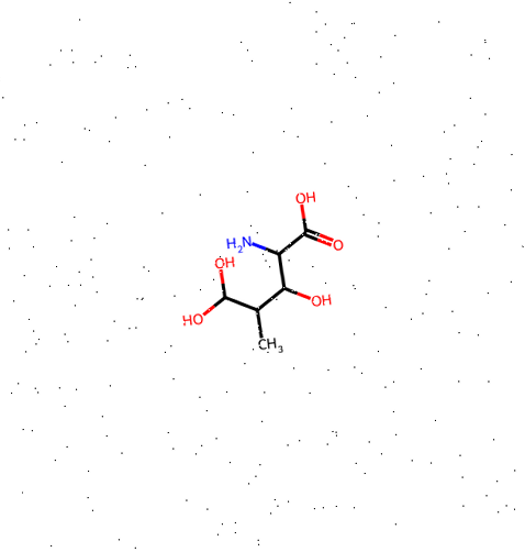 CC(C(O)O)C(O)C(N)C(=O)O